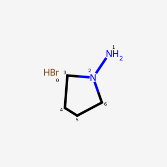 Br.NN1CCCC1